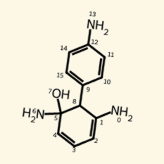 NC1=CC=CC(N)(O)C1c1ccc(N)cc1